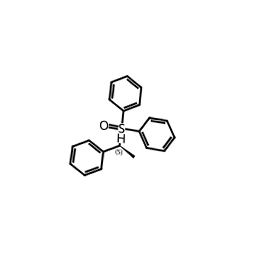 C[C@@H](c1ccccc1)[SH](=O)(c1ccccc1)c1ccccc1